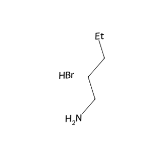 Br.CCCCCN